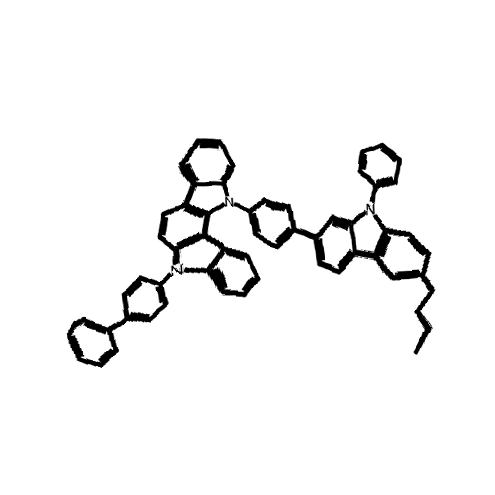 CCCCc1ccc2c(c1)c1ccc(-c3ccc(-n4c5ccccc5c5ccc6c(c7ccccc7n6-c6ccc(-c7ccccc7)cc6)c54)cc3)cc1n2-c1ccccc1